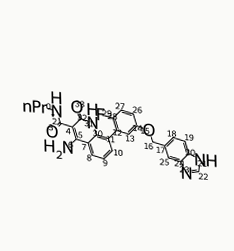 CCCNC(=O)c1c(N)c2cccc(-c3cc(OCc4ccc5[nH]cnc5c4)ccc3F)c2[nH]c1=O